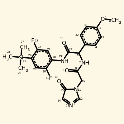 COc1ccc(C(NC(=O)CN2C=[N+]=CC2=O)C(=O)Nc2cc(F)c([Si](C)(C)C)cc2F)cc1